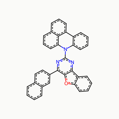 c1ccc2c(c1)-c1cccc3cccc(c13)N2c1nc(-c2ccc3ccccc3c2)c2oc3ccccc3c2n1